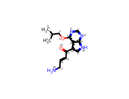 CC(C)COc1ncnc2[nH]cc(C(=O)C=CCN)c12